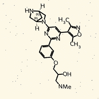 CNCC(O)COc1cccc(-c2nc(-c3c(C)noc3C)cc(N3C[C@H]4C[C@@H]3CN4)n2)c1